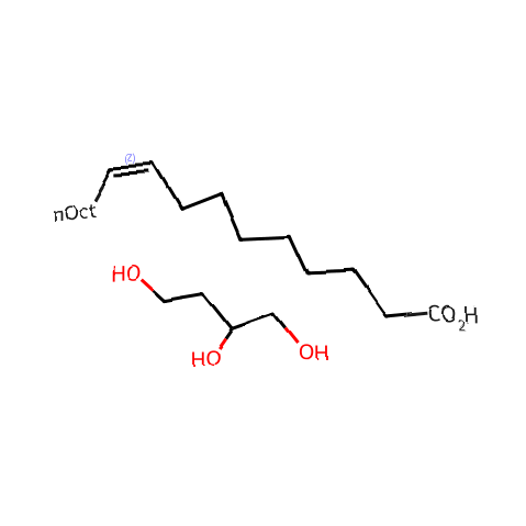 CCCCCCCC/C=C\CCCCCCCC(=O)O.OCCC(O)CO